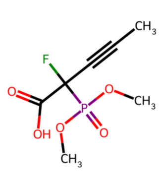 CC#CC(F)(C(=O)O)P(=O)(OC)OC